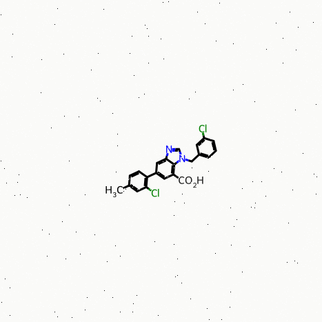 Cc1ccc(-c2cc(C(=O)O)c3c(c2)ncn3Cc2cccc(Cl)c2)c(Cl)c1